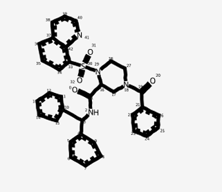 O=C(NC(c1ccccc1)c1ccccc1)C1CN(C(=O)c2ccccc2)CCN1S(=O)(=O)c1cccc2cccnc12